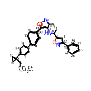 CCOC(=O)CC1(c2ccc(-c3ccc(-c4onc(C)c4NC(C)c4cc(-c5ccccc5)no4)cc3)cc2)CC1